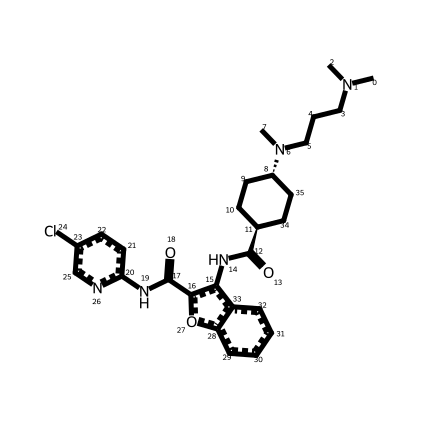 CN(C)CCCN(C)[C@H]1CC[C@H](C(=O)Nc2c(C(=O)Nc3ccc(Cl)cn3)oc3ccccc23)CC1